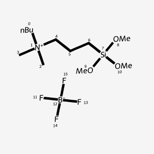 CCCC[N+](C)(C)CCC[Si](OC)(OC)OC.F[B-](F)(F)F